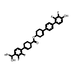 CCCC(O)c1ccc(C2=CCC(C(=O)OC3CC=C(c4ccc(-c5ccc(O)c(F)c5F)cc4)CC3)CC2)c(F)c1F